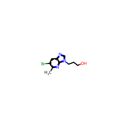 Cc1nc2c(cc1Br)ncn2CCCO